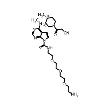 C[C@@H]1CCN(C(=O)CC#N)C[C@@H]1N(C)c1ncnc2c1ccn2C(=S)NCCOCCOCCOCCN